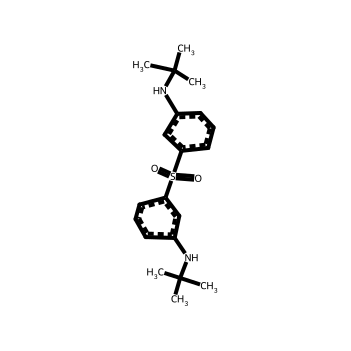 CC(C)(C)Nc1cccc(S(=O)(=O)c2cccc(NC(C)(C)C)c2)c1